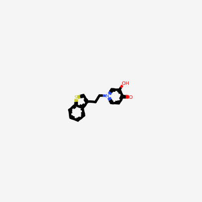 O=c1ccn(CCc2csc3ccccc23)cc1O